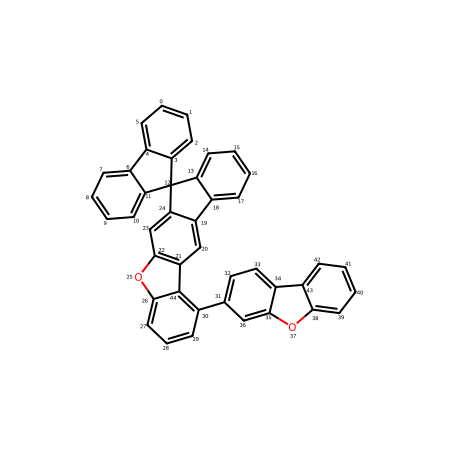 c1ccc2c(c1)-c1ccccc1C21c2ccccc2-c2cc3c(cc21)oc1cccc(-c2ccc4c(c2)oc2ccccc24)c13